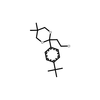 CC1(C)COC(CCCl)(c2ccc(C(C)(C)C)cc2)OC1